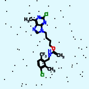 C=C(NCc1c(C(F)(F)F)ccc(Cl)c1C)OCCCCn1cnc2c(C)nc(Cl)nc21